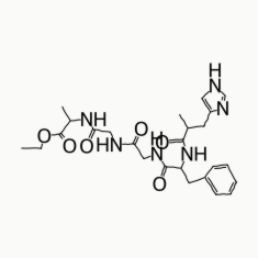 CCOC(=O)C(C)NC(=O)CNC(=O)CNC(=O)C(Cc1ccccc1)NC(=O)C(C)Cc1c[nH]cn1